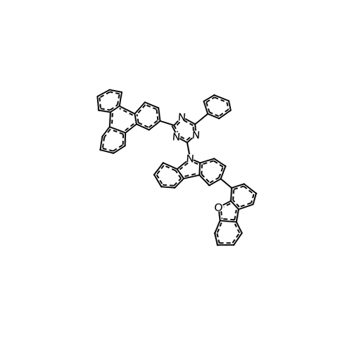 c1ccc(-c2nc(-c3ccc4c5ccccc5c5ccccc5c4c3)nc(-n3c4ccccc4c4cc(-c5cccc6c5oc5ccccc56)ccc43)n2)cc1